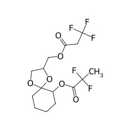 CC(F)(F)C(=O)OC1CCCCC12OCC(COC(=O)CC(F)(F)F)O2